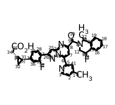 Cc1ccnc(-c2cc(C(=O)N3C[C@H](F)c4ccccc4[C@H]3C)nc3cc(-c4ccc([C@H]5C[C@@H]5CC(=O)O)cc4F)nn23)c1